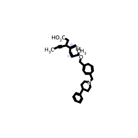 CC#CC(CC(=O)O)C(/C=C\C(C)OCC1=CC=C(CN2CCC(c3ccccc3)CC2)C=CC1)=C/CC